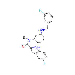 CCN(C(=O)c1cc2cc(F)ccc2[nH]1)C1CCCC(NCc2cccc(F)c2)C1